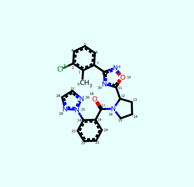 Cc1c(Cl)cccc1-c1noc(C2CCCN2C(=O)c2ccccc2-n2nccn2)n1